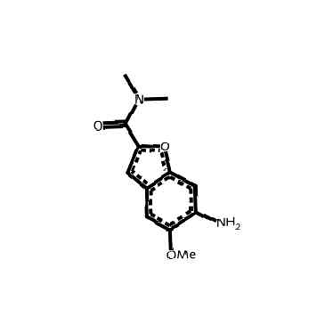 COc1cc2cc(C(=O)N(C)C)oc2cc1N